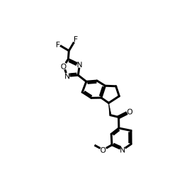 COc1cc(C(=O)C[C@@H]2CCc3cc(-c4noc(C(F)F)n4)ccc32)ccn1